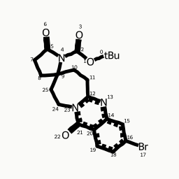 CC(C)(C)OC(=O)N1C(=O)CCC12CCc1nc3cc(Br)ccc3c(=O)n1CC2